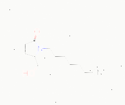 N#CCCCCCCN1C(=O)CCC1CO